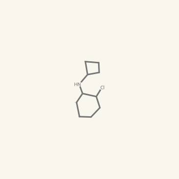 ClC1CCC[CH]C1NC1CCC1